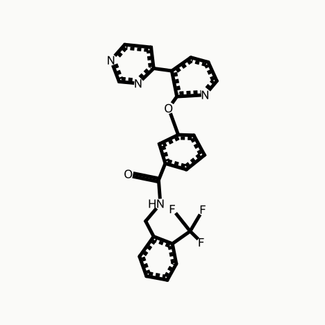 O=C(NCc1ccccc1C(F)(F)F)c1cccc(Oc2ncccc2-c2ccncn2)c1